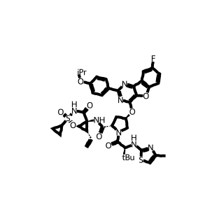 C=C[C@@H]1C[C@]1(NC(=O)[C@@H]1C[C@@H](Oc2nc(-c3ccc(OC(C)C)cc3)nc3c2oc2ccc(F)cc23)CN1C(=O)[C@@H](Nc1nc(C)cs1)C(C)(C)C)C(=O)NS(=O)(=O)C1CC1